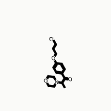 CC(C(=O)c1ccc(OCCCCl)cc1)N1CCOCC1